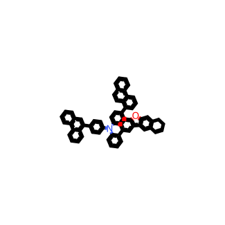 C1=Cc2cc3c(cc2CC1)oc1ccc(-c2ccccc2N(c2ccc(-c4cccc5c4ccc4ccccc45)cc2)c2ccc(-c4cc5ccccc5c5ccccc45)cc2)cc13